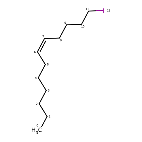 CCCCCC/C=C\CCCCI